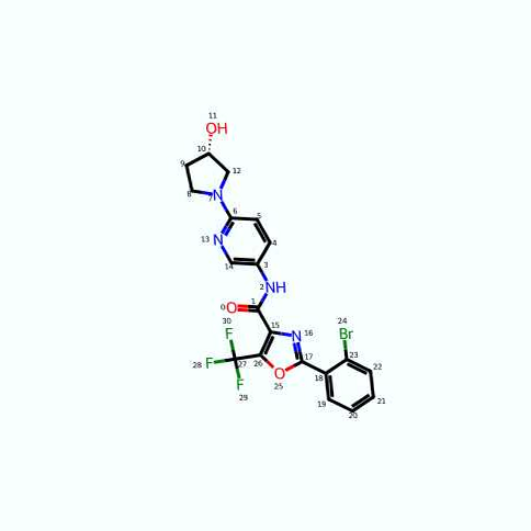 O=C(Nc1ccc(N2CC[C@H](O)C2)nc1)c1nc(-c2ccccc2Br)oc1C(F)(F)F